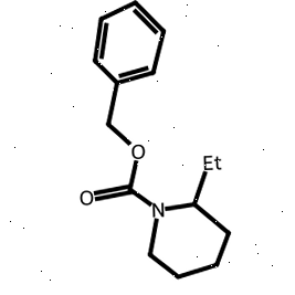 CCC1CCCCN1C(=O)OCc1ccccc1